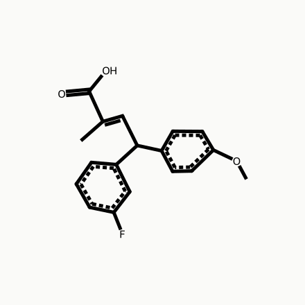 COc1ccc(C(/C=C(\C)C(=O)O)c2cccc(F)c2)cc1